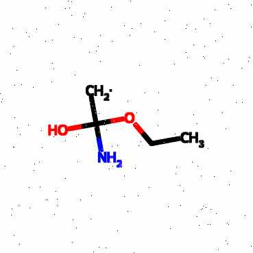 [CH2]C(N)(O)OCC